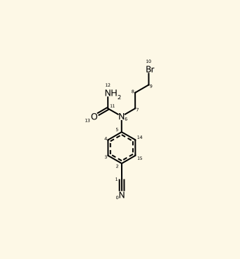 N#Cc1ccc(N(CCCBr)C(N)=O)cc1